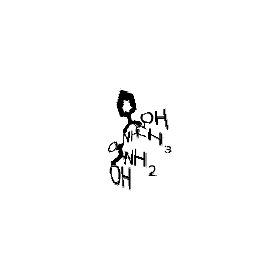 C[C@H](O)C(CNC(=O)[C@H](N)CO)c1ccccc1